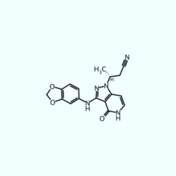 C[C@H](CC#N)n1nc(Nc2ccc3c(c2)OCO3)c2c(=O)[nH]ccc21